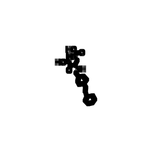 O=C(O)NCC(NCc1ccc(C=Cc2ccccc2)cc1)C(=O)NO